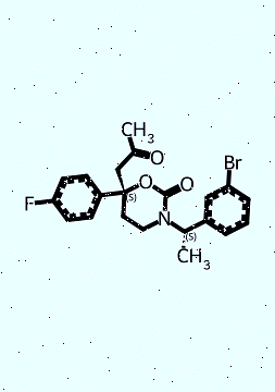 CC(=O)C[C@]1(c2ccc(F)cc2)CCN([C@@H](C)c2cccc(Br)c2)C(=O)O1